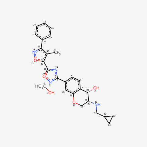 O=C(O)O.O[C@H]1c2ccc(-c3noc(-c4onc(-c5ccccc5)c4C(F)(F)F)n3)cc2OC[C@H]1NCC1CC1